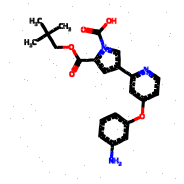 CC(C)(C)COC(=O)c1cc(-c2cc(Oc3cccc(N)c3)ccn2)cn1C(=O)O